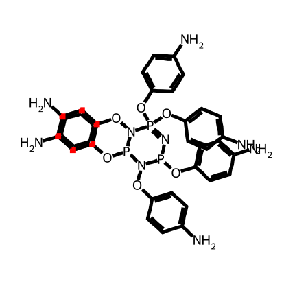 Nc1ccc(ON2P(Oc3ccc(N)cc3)N=P(Oc3ccc(N)cc3)(Oc3ccc(N)cc3)N(Oc3ccc(N)cc3)P2Oc2ccc(N)cc2)cc1